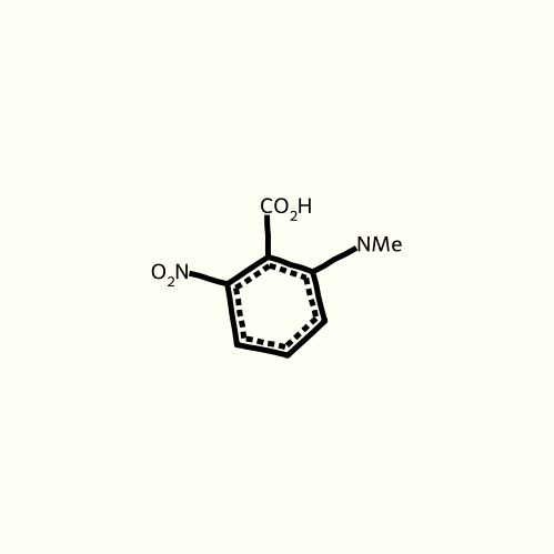 CNc1cccc([N+](=O)[O-])c1C(=O)O